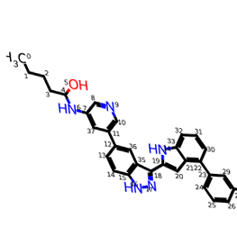 CCCCC(O)Nc1cncc(-c2ccc3[nH]nc(-c4cc5c(-c6cccc(F)c6)cccc5[nH]4)c3c2)c1